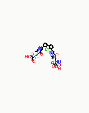 Cc1cn2nc(-c3cccc(-c4cccc(-c5cc6c(=O)n(CCN[C@H](C(=O)O)[C@@H](C)O)c(C)cn6n5)c4Cl)c3Cl)cc2c(=O)n1CCN[C@H](C(=O)O)[C@@H](C)O